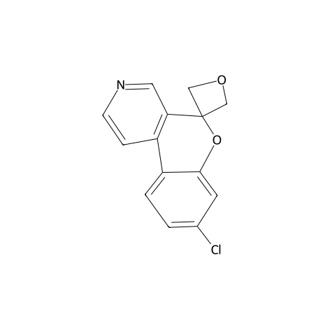 Clc1ccc2c(c1)OC1(COC1)c1cnccc1-2